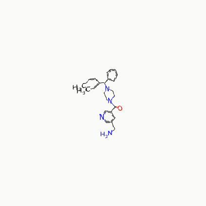 C/C=C\C(=C/C)C(c1ccccc1)N1CCN(C(=O)c2cncc(CN)c2)CC1